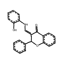 O=C1C(=CNc2ccccc2O)C(c2ccccc2)Oc2ccccc21